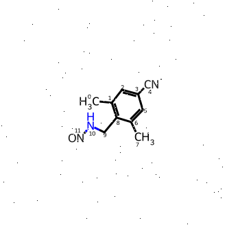 Cc1cc(C#N)cc(C)c1CNN=O